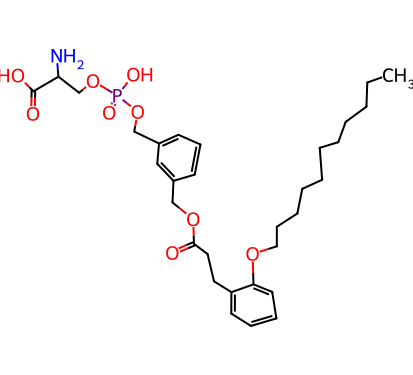 CCCCCCCCCCCOc1ccccc1CCC(=O)OCc1cccc(COP(=O)(O)OCC(N)C(=O)O)c1